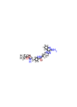 CCc1nc2c(N)nc3ccccc3c2n1CCCCNC(=O)c1ccc(CCNC(=O)OC(C)(C)C)cc1